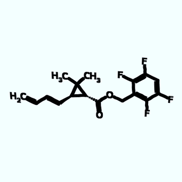 C=C/C=C/[C@@H]1[C@@H](C(=O)OCc2c(F)c(F)cc(F)c2F)C1(C)C